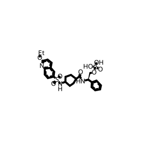 CCOc1ccc2cc(S(=O)(=O)NC3CCC(C(=O)N[C@@H](COP(=O)(O)O)c4ccccc4)CC3)ccc2n1